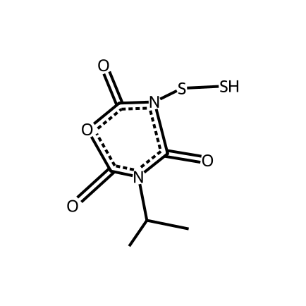 CC(C)n1c(=O)oc(=O)n(SS)c1=O